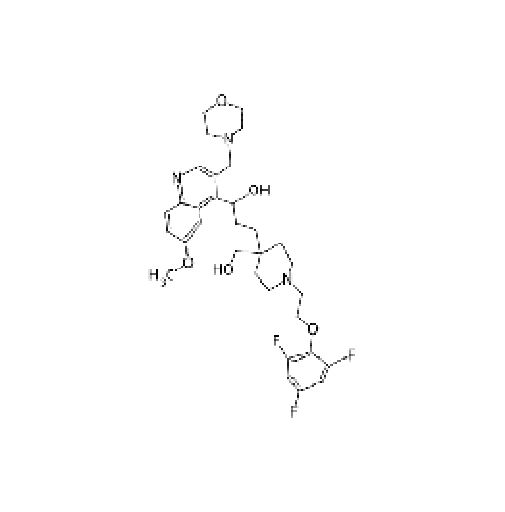 COc1ccc2ncc(CN3CCOCC3)c(C(O)CCC3(CO)CCN(CCOc4c(F)cc(F)cc4F)CC3)c2c1